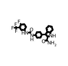 NC(=O)c1[nH]c2ccccc2c1-c1ccc(NC(=O)Nc2ccc(F)c(C(F)(F)F)c2)cc1